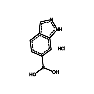 Cl.OB(O)c1ccc2cn[nH]c2c1